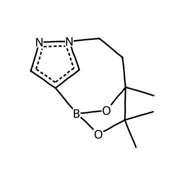 CC1(C)OB2OC1(C)CCn1cc2cn1